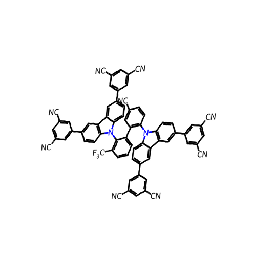 N#Cc1cc(C#N)cc(-c2ccc3c(c2)c2cc(-c4cc(C#N)cc(C#N)c4)ccc2n3-c2ccc(C#N)cc2-c2cccc(C(F)(F)F)c2-n2c3ccc(-c4cc(C#N)cc(C#N)c4)cc3c3cc(-c4cc(C#N)cc(C#N)c4)ccc32)c1